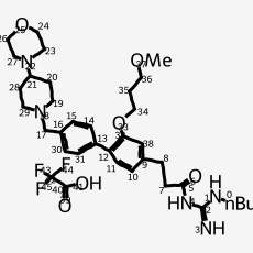 CCCCNC(=N)NC(=O)CCc1ccc(-c2ccc(CN3CCC(N4CCOCC4)CC3)cc2)c(OCCCOC)c1.O=C(O)C(F)(F)F